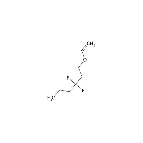 C=COCCC(F)(F)CCC(F)(F)F